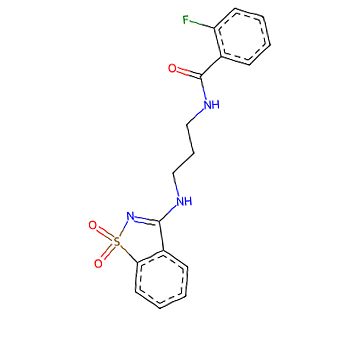 O=C(NCCCNC1=NS(=O)(=O)c2ccccc21)c1ccccc1F